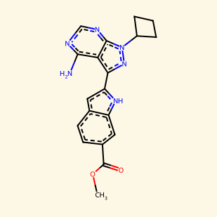 COC(=O)c1ccc2cc(-c3nn(C4CCC4)c4ncnc(N)c34)[nH]c2c1